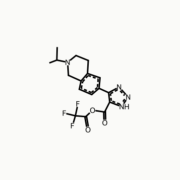 CC(C)N1CCc2cc(-c3nn[nH]c3C(=O)OC(=O)C(F)(F)F)ccc2C1